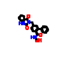 O=C(NO)c1ccc(CN2C(=O)NC3(CCCC3)C2=O)cc1-c1ccccc1